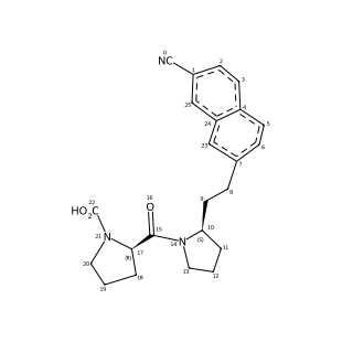 N#Cc1ccc2ccc(CC[C@H]3CCCN3C(=O)[C@H]3CCCN3C(=O)O)cc2c1